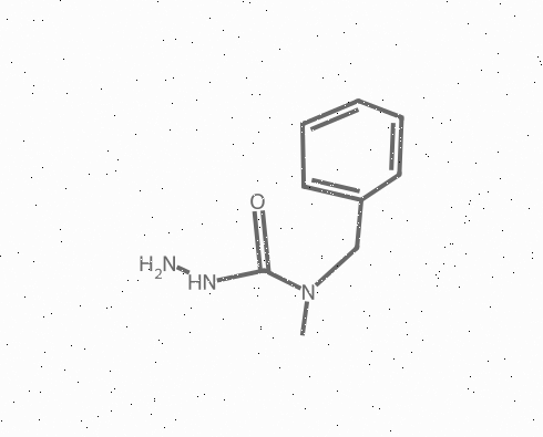 CN(Cc1ccccc1)C(=O)NN